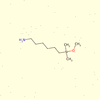 CO[Si](C)(C)CCCCCCN